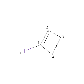 IC1=[C]CC1